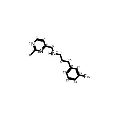 Cc1nccc(CNCCCc2cccc(F)c2)n1